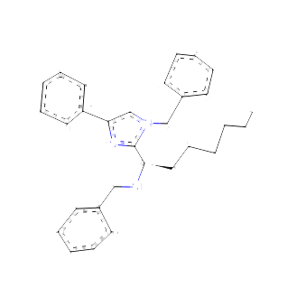 CCCCCC[C@@H](NCc1ccccc1)c1nc(-c2ccccc2)cn1Cc1ccccc1